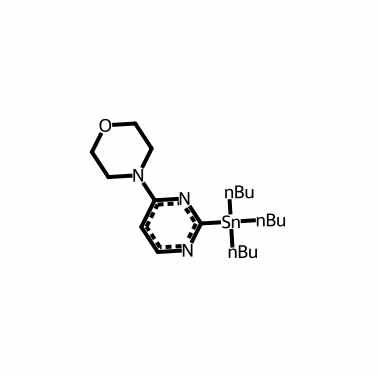 CCC[CH2][Sn]([CH2]CCC)([CH2]CCC)[c]1nccc(N2CCOCC2)n1